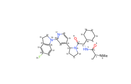 CNC(C)C(=O)N[C@H](C(=O)N1CCCC1c1ccnc(N2CCc3cc(F)ccc32)c1)C1CCCCC1